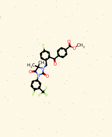 COC(=O)c1ccc(C(=O)c2cc(F)ccc2CN2C(=O)N(c3ccc(F)c(C(F)(F)F)c3)C(=O)C2(C)C)cc1